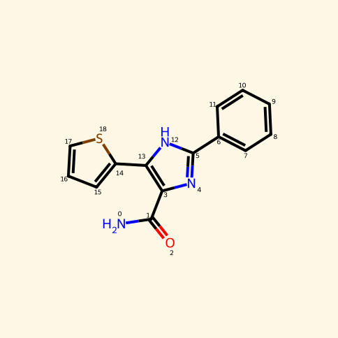 NC(=O)c1nc(-c2ccccc2)[nH]c1-c1cccs1